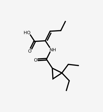 CC/C=C(\NC(=O)C1CC1(CC)CC)C(=O)O